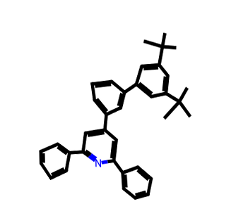 CC(C)(C)c1cc(-c2cccc(-c3cc(-c4ccccc4)nc(-c4ccccc4)c3)c2)cc(C(C)(C)C)c1